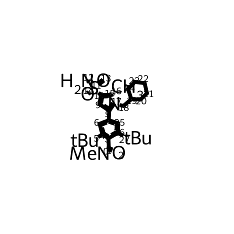 CNC(=O)c1c(C(C)(C)C)cc(-c2cc(S(N)(=O)=O)c(C)n2CC2CCCCC2)cc1C(C)(C)C